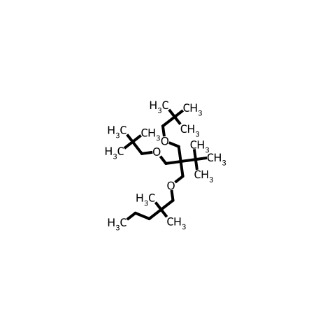 CCCC(C)(C)COCC(COCC(C)(C)C)(COCC(C)(C)C)C(C)(C)C